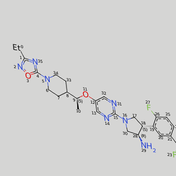 CCc1noc(N2CCC([C@H](C)Oc3cnc(N4C[C@H](c5cc(CF)ccc5F)[C@@H](N)C4)nc3)CC2)n1